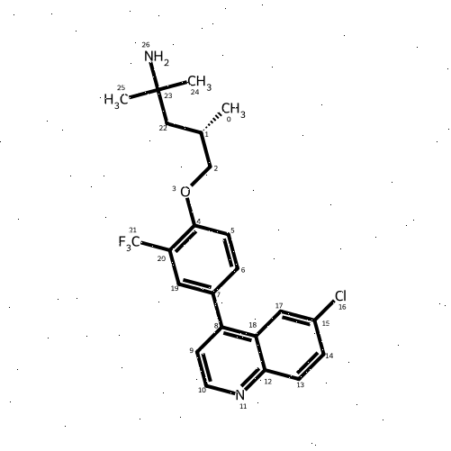 C[C@H](COc1ccc(-c2ccnc3ccc(Cl)cc23)cc1C(F)(F)F)CC(C)(C)N